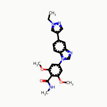 CCn1cc(-c2ccc3c(c2)ncn3-c2cc(OC)c(C(=O)NC)c(OC)c2)cn1